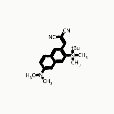 CN(C)c1ccc2cc(C=C(C#N)C#N)c([Si](C)(C)C(C)(C)C)cc2c1